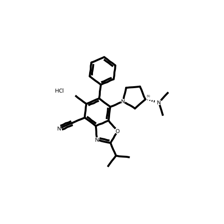 Cc1c(-c2ccccc2)c(N2CC[C@H](N(C)C)C2)c2oc(C(C)C)nc2c1C#N.Cl